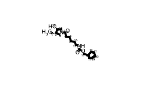 CC[C@H]1CN(C(=O)CCCCCNC(=O)OCc2ccccc2)C[C@@H]1O